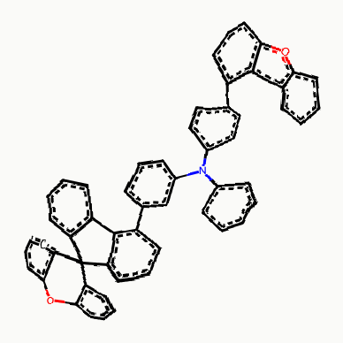 c1ccc(N(c2ccc(-c3cccc4oc5ccccc5c34)cc2)c2cccc(-c3cccc4c3-c3ccccc3C43c4ccccc4Oc4ccccc43)c2)cc1